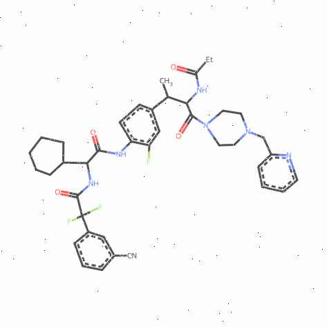 CCC(=O)NC(C(=O)N1CCN(Cc2ccccn2)CC1)C(C)c1ccc(NC(=O)C(NC(=O)C(F)(F)c2cccc(C#N)c2)C2CCCCC2)c(F)c1